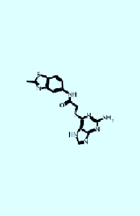 Cc1nc2cc(NC(=O)CSc3nc(N)nc4nc[nH]c34)ccc2s1